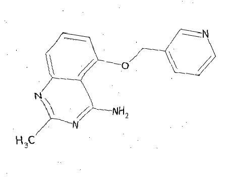 Cc1nc(N)c2c(OCc3cccnc3)cccc2n1